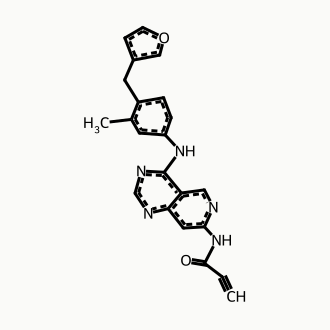 C#CC(=O)Nc1cc2ncnc(Nc3ccc(Cc4ccoc4)c(C)c3)c2cn1